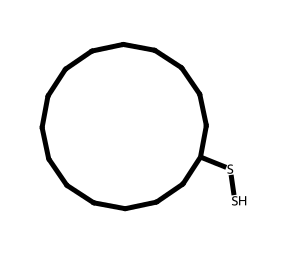 SSC1CCCCCCCCCCCCCCC1